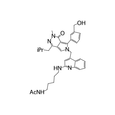 CC(=O)NCCCCCNc1cc(Cn2cc3c(CC(C)C)nn(C)c(=O)c3c2-c2cccc(CO)c2)c2ccccc2n1